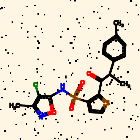 Cc1ccc(C(C)C(=O)c2sccc2S(=O)(=O)Nc2onc(C)c2Cl)cc1